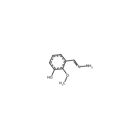 COc1c(O)cccc1C=NN